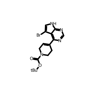 CC(C)(C)OC(=O)N1CC=C(c2ncnc3[nH]cc(Br)c23)CC1